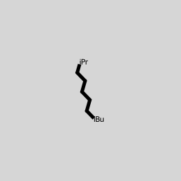 CCC(C)CCCCCC(C)C